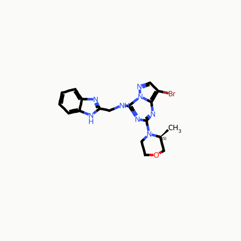 C[C@H]1COCCN1c1nc(NCc2nc3ccccc3[nH]2)n2ncc(Br)c2n1